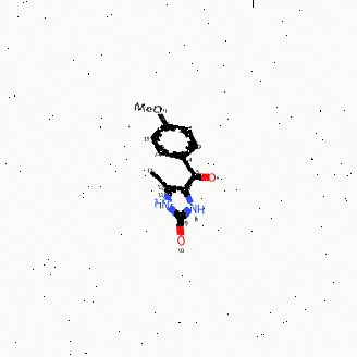 COc1ccc(C(=O)c2[nH]c(=O)[nH]c2C)cc1